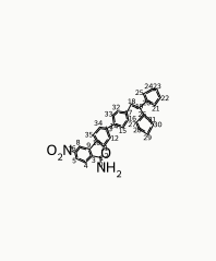 NC(=O)c1ccc([N+](=O)[O-])cc1-c1ccc(-c2ccc(C=C(c3ccccc3)c3ccccc3)cc2)cc1